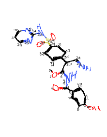 COC(NC(=O)c1ccc(O)cc1)C(C=N)c1ccc(S(=O)(=O)Nc2ncccn2)cc1